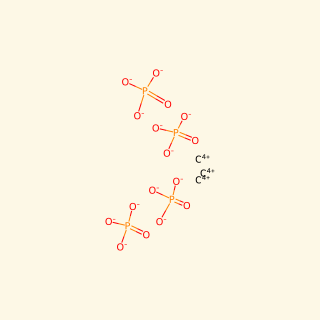 O=P([O-])([O-])[O-].O=P([O-])([O-])[O-].O=P([O-])([O-])[O-].O=P([O-])([O-])[O-].[C+4].[C+4].[C+4]